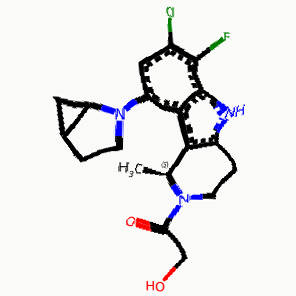 C[C@H]1c2c([nH]c3c(F)c(Cl)cc(N4CCC5CC54)c23)CCN1C(=O)CO